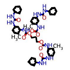 Cc1ccc(NC(=O)Nc2ccccc2)cc1NC(=O)OCC(COC(=O)Nc1cc(NC(=O)Nc2ccccc2)ccc1C)OC(=O)Nc1cc(NC(=O)Nc2ccccc2)ccc1C